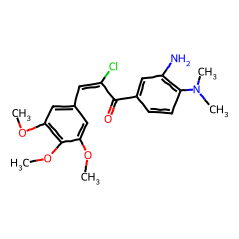 COc1cc(/C=C(/Cl)C(=O)c2ccc(N(C)C)c(N)c2)cc(OC)c1OC